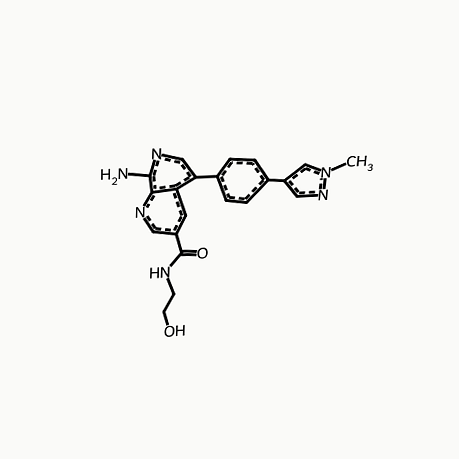 Cn1cc(-c2ccc(-c3cnc(N)c4ncc(C(=O)NCCO)cc34)cc2)cn1